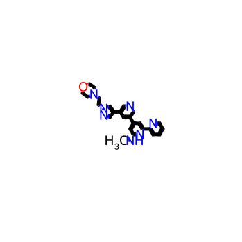 CNc1cc(-c2cncc(-c3cnn(CCN4CCOCC4)c3)c2)cc(-c2ccccn2)n1